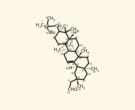 CC1(C)C(O[Si](C)(C)C(C)(C)C)CC[C@]2(C)C3CC=C4[C@@H]5C[C@@](C)(CC=O)CC[C@]5(C)CC[C@@]4(C)[C@]3(C)CC[C@@H]12